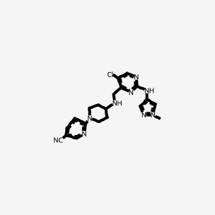 Cn1cc(Nc2ncc(Cl)c(CNC3CCN(c4ccc(C#N)cn4)CC3)n2)cn1